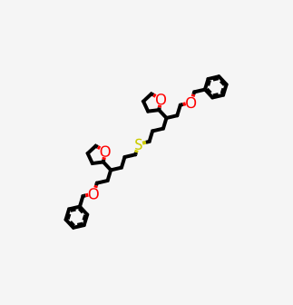 c1ccc(COCCC(CCCSCCCC(CCOCc2ccccc2)C2CCCO2)C2CCCO2)cc1